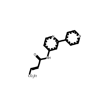 CCOC(=O)/C=C/C(=O)Nc1ccnc(-c2ccncc2)c1